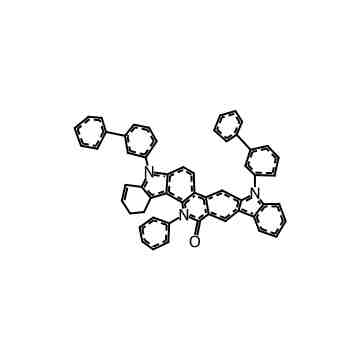 O=c1c2cc3c4ccccc4n(-c4cccc(-c5ccccc5)c4)c3cc2c2ccc3c(c4c(n3-c3cccc(-c5ccccc5)c3)C=CCC4)c2n1-c1ccccc1